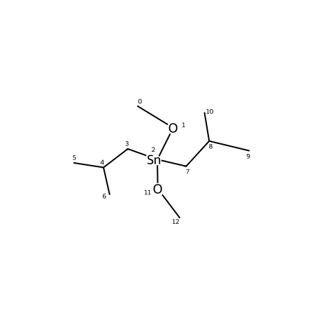 C[O][Sn]([CH2]C(C)C)([CH2]C(C)C)[O]C